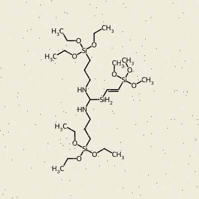 CCO[Si](CCCNC(NCCC[Si](OCC)(OCC)OCC)[SiH2]C=C[Si](OC)(OC)OC)(OCC)OCC